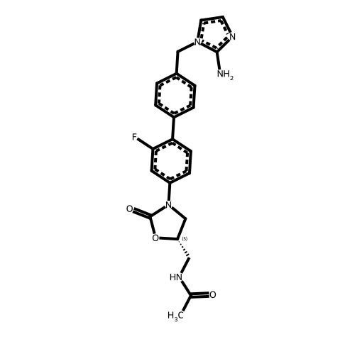 CC(=O)NC[C@H]1CN(c2ccc(-c3ccc(Cn4ccnc4N)cc3)c(F)c2)C(=O)O1